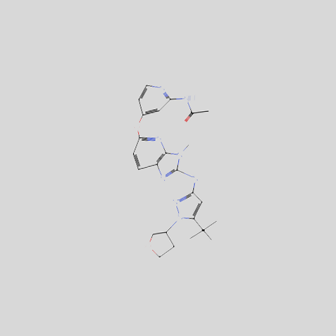 CC(=O)Nc1cc(Oc2ccc3nc(Nc4cc(C(C)(C)C)n(C5CCOC5)n4)n(C)c3n2)ccn1